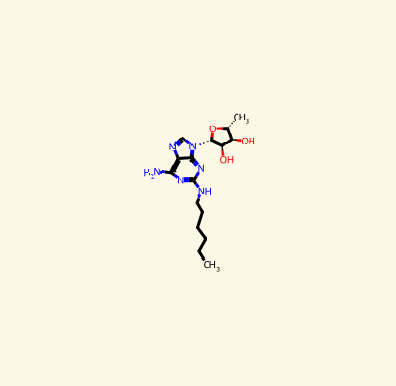 CCCCCCNc1nc(N)c2ncn([C@@H]3O[C@H](C)[C@@H](O)[C@H]3O)c2n1